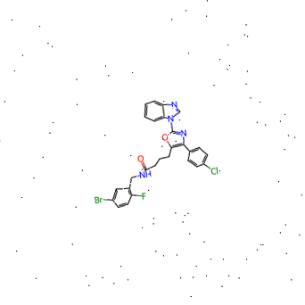 O=C(CCCc1oc(-n2cnc3ccccc32)nc1-c1ccc(Cl)cc1)NCc1cc(Br)ccc1F